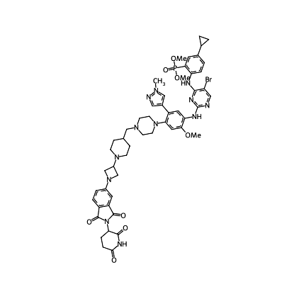 COc1cc(N2CCN(CC3CCN(C4CN(c5ccc6c(c5)C(=O)N(C5CCC(=O)NC5=O)C6=O)C4)CC3)CC2)c(-c2cnn(C)c2)cc1Nc1ncc(Br)c(Nc2ccc(C3CC3)cc2P(=O)(OC)OC)n1